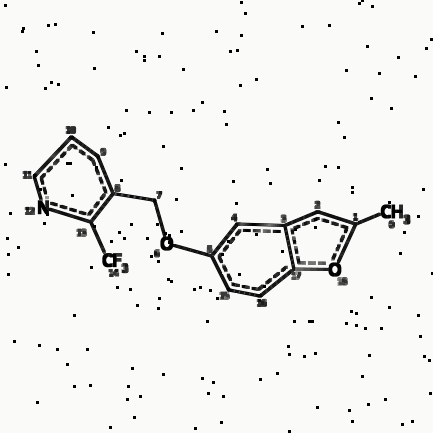 Cc1cc2cc(OCc3cccnc3C(F)(F)F)ccc2o1